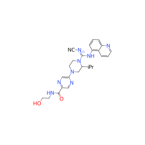 CC(C)C1CN(c2cnc(C(=O)NCCO)cn2)CCN1/C(=N\C#N)Nc1cccc2ncccc12